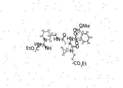 CCOC(=O)CCN(C(=O)[C@H](CC(=O)NC[C@@H]1CCCN(C(=N)NC(=O)OCC)C1)NS(=O)(=O)c1ccccc1C(=O)OC)C1CC1